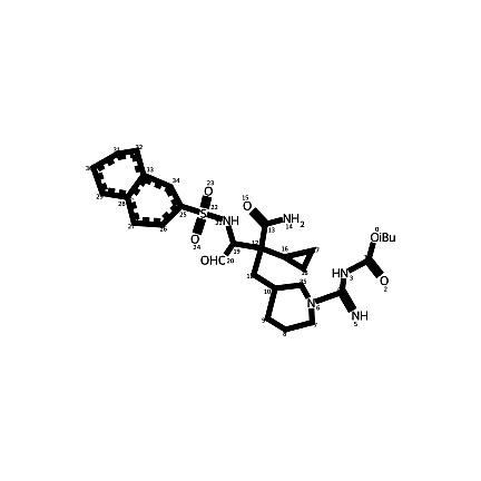 CC(C)COC(=O)NC(=N)N1CCCC(CC(C(N)=O)(C2CC2)C(C=O)NS(=O)(=O)c2ccc3ccccc3c2)C1